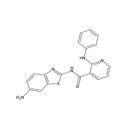 O=C(Nc1nc2ccc([N+](=O)[O-])cc2s1)c1cccnc1Nc1ccccc1